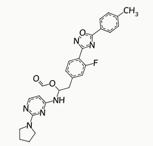 Cc1ccc(-c2nc(-c3ccc(CC(Nc4ccnc(N5CCCC5)n4)OC=O)cc3F)no2)cc1